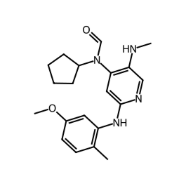 CNc1cnc(Nc2cc(OC)ccc2C)cc1N(C=O)C1CCCC1